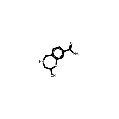 NC(=O)c1ccc2c(c1)OC(O)CNC2